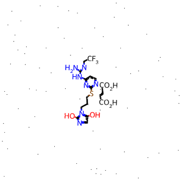 NC(=NCC(F)(F)F)Nc1ccnc(SCCCn2c(O)cnc2O)n1.O=C(O)C=CC(=O)O